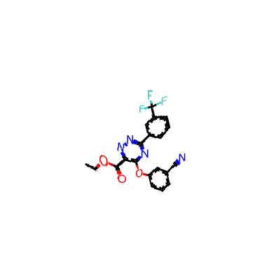 CCOC(=O)c1nnc(-c2cccc(C(F)(F)F)c2)nc1Oc1cccc(C#N)c1